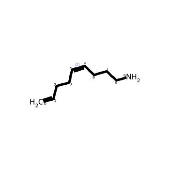 C=CCC/C=C\CCCN